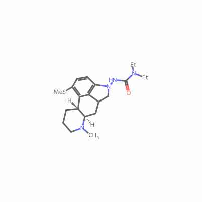 CCN(CC)C(=O)NN1CC2C[C@@H]3[C@H](CCCN3C)c3c(SC)ccc1c32